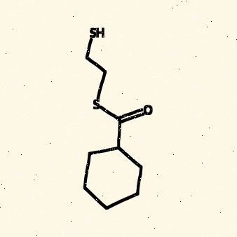 O=C(SCCS)C1CCCCC1